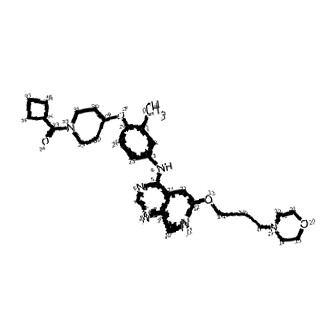 Cc1cc(Nc2ncnc3cnc(OCCCN4CCOCC4)cc23)ccc1OC1CCN(C(=O)C2CCC2)CC1